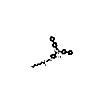 CCCCCCCC(=O)OCCOc1ccc(-c2nc(-c3ccc(-c4ccccc4)cc3)nc(-c3ccc(-c4ccccc4)cc3)n2)c(O)c1